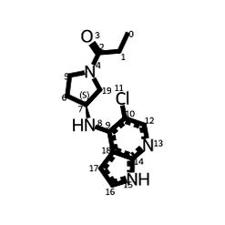 CCC(=O)N1CC[C@H](Nc2c(Cl)cnc3[nH]ccc23)C1